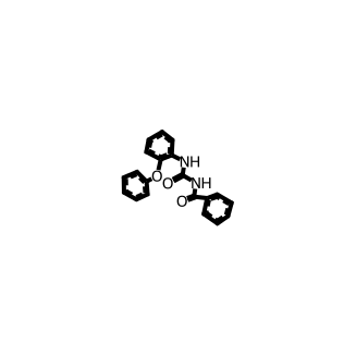 O=C(NC(=O)c1ccccc1)Nc1ccccc1Oc1ccccc1